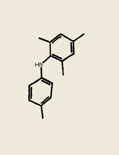 Cc1ccc(Nc2c(C)cc(C)cc2C)cc1